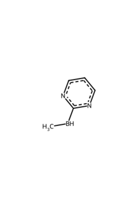 CBc1ncccn1